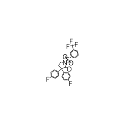 O=C1N(S(=O)(=O)c2cccc(C(F)(F)F)c2)CCC1(c1ccc(F)cc1)c1ccc(F)cc1